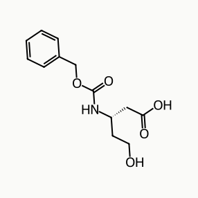 O=C(O)C[C@H](CCO)NC(=O)OCc1ccccc1